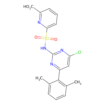 Cc1cccc(C)c1-c1cc(Cl)nc(NS(=O)(=O)c2cccc(C(=O)O)n2)n1